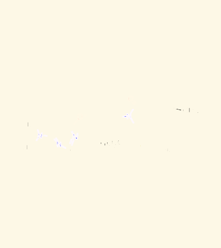 CN(C)c1cc(O[C@H]2CC[C@H](N(c3cc(C(C)(C)C)sc3C(=O)O)C(=O)[C@H]3CC[C@H](C)CC3)CC2)ncn1